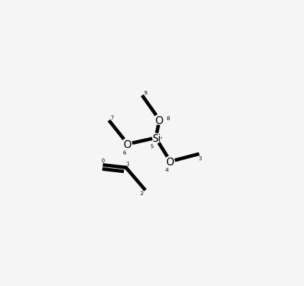 C=CC.CO[Si](OC)OC